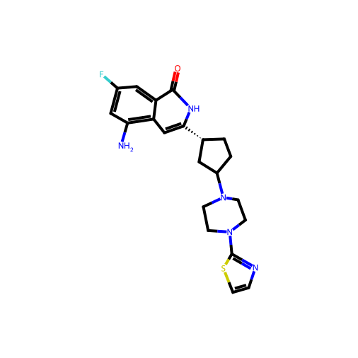 Nc1cc(F)cc2c(=O)[nH]c([C@@H]3CCC(N4CCN(c5nccs5)CC4)C3)cc12